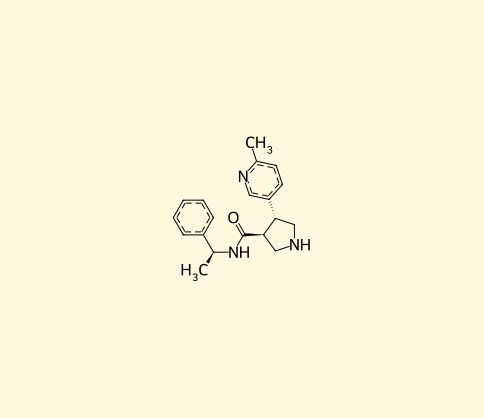 Cc1ccc([C@@H]2CNC[C@H]2C(=O)N[C@@H](C)c2ccccc2)cn1